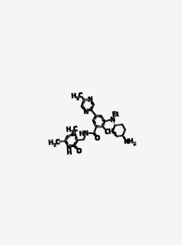 CCN(c1cc(-c2cnc(C)cn2)cc(C(=O)NCc2c(C)cc(C)[nH]c2=O)c1C)[C@H]1CC[C@H](N)CC1